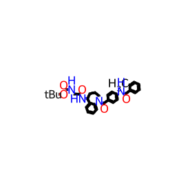 Cc1ccccc1C(=O)Nc1ccc(C(=O)N2CCCC(NC(=O)CNC(=O)OC(C)(C)C)c3ccccc32)cc1